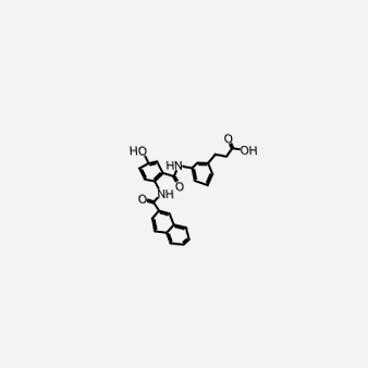 O=C(O)CCc1cccc(NC(=O)c2cc(O)ccc2NC(=O)c2ccc3ccccc3c2)c1